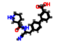 N#CC(Cc1ccc(-c2cccc(C(=O)O)c2)cc1)NC(=O)C1CCCNC1